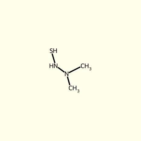 CN(C)NS